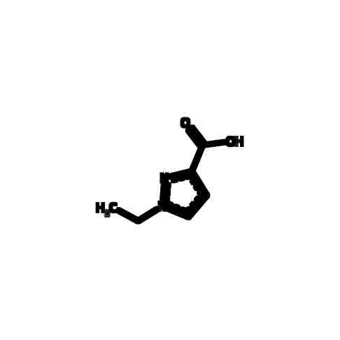 CCn1ccc(C(=O)O)n1